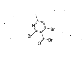 Cc1cc(Br)c(C(=O)Br)c(Br)n1